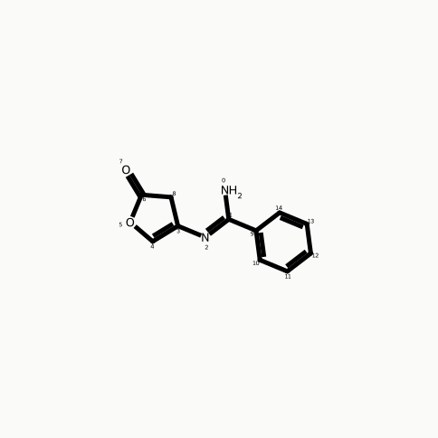 NC(=NC1=COC(=O)C1)c1ccccc1